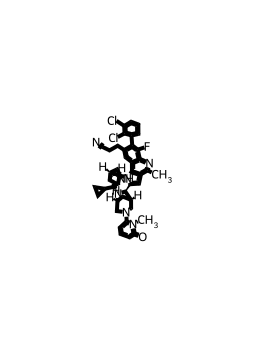 Cc1nc2c(F)c(-c3cccc(Cl)c3Cl)c(CCC#N)cc2c2c1cc([C@H]1[C@H]3C[C@H](CN(c4cccc(=O)n4C)C3)N1C(=O)C1CC1)n2[C@H]1[C@H]2CN[C@@H]1C2